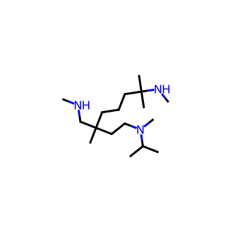 CNCC(C)(CCCC(C)(C)NC)CCN(C)C(C)C